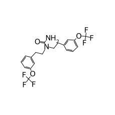 NC(=O)N(CCc1cccc(OC(F)(F)F)c1)CCc1cccc(OC(F)(F)F)c1